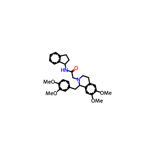 COc1ccc(CC2c3cc(OC)c(OC)cc3CCN2CC(=O)NC2CCc3ccccc32)cc1OC